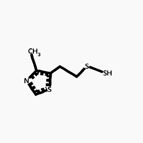 Cc1ncsc1CCSS